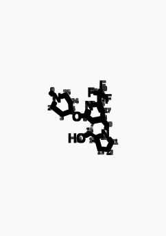 CN1CCC(Oc2cc(CN3CCC[C@H]3CO)cc(C(F)(F)F)n2)CC1